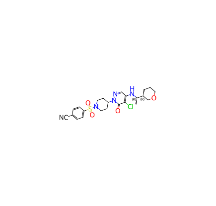 C[C@@H](Nc1cnn(C2CCN(S(=O)(=O)c3ccc(C#N)cc3)CC2)c(=O)c1Cl)[C@H]1CCCOC1